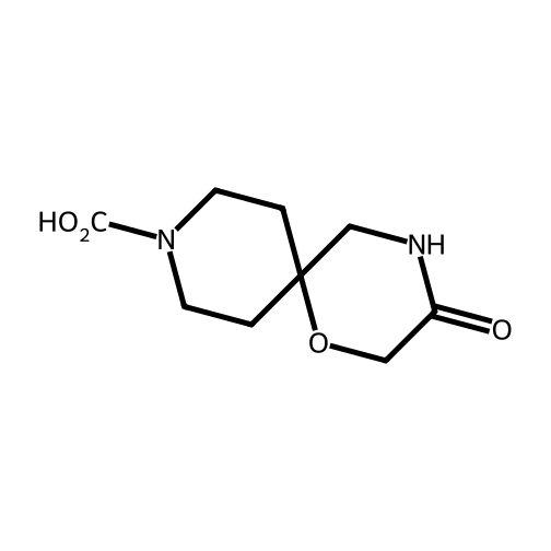 O=C1COC2(CCN(C(=O)O)CC2)CN1